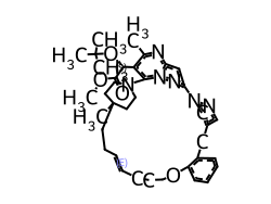 COC(=O)[C@@H](OC(C)(C)C)c1c(C)nc2cc3nn2c1N1CCC(C)(CC/C=C/CCCOc2ccccc2Cc2cnn-3c2)CC1